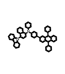 c1ccc(-c2c3ccccc3c(-c3ccccc3)c3cc(-c4ccc(N(c5ccccc5)c5ccc(-n6c7ccccc7c7ccccc76)c6ccccc56)cc4)ccc23)cc1